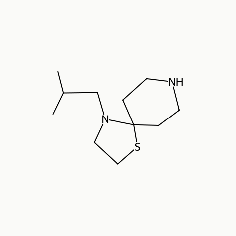 CC(C)CN1CCSC12CCNCC2